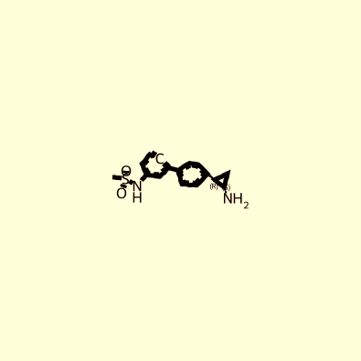 CS(=O)(=O)Nc1cccc(-c2ccc([C@H]3C[C@@H]3N)cc2)c1